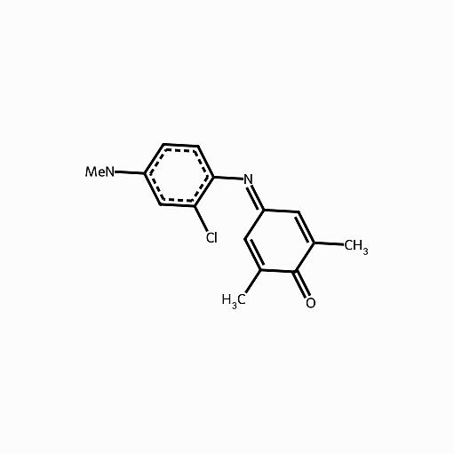 CNc1ccc(N=C2C=C(C)C(=O)C(C)=C2)c(Cl)c1